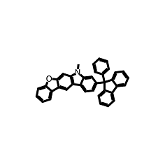 Cn1c2cc(C3(c4ccccc4)c4ccccc4-c4ccccc43)ccc2c2cc3c(cc21)oc1ccccc13